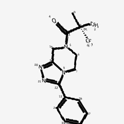 C[C@@](O)(C(=O)N1CCn2c(nnc2-c2ccccc2)C1)C(F)(F)F